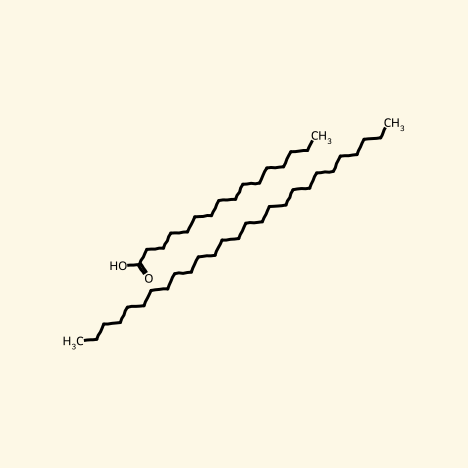 CCCCCCCCCCCCCCCC(=O)O.CCCCCCCCCCCCCCCCCCCCCCCCCCC